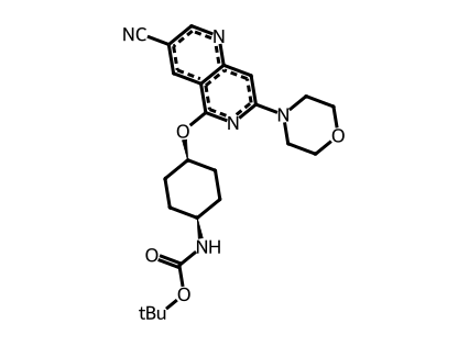 CC(C)(C)OC(=O)N[C@H]1CC[C@@H](Oc2nc(N3CCOCC3)cc3ncc(C#N)cc23)CC1